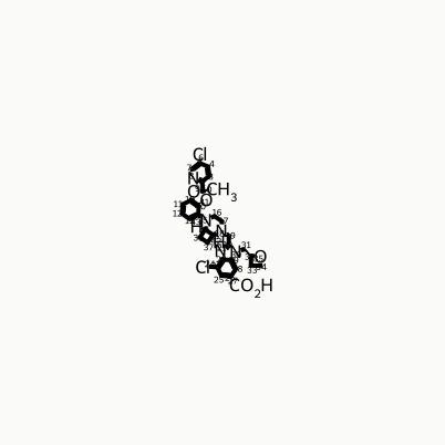 C[C@]1(c2ccc(Cl)cn2)Oc2cccc(N3CCN(Cc4nc5c(Cl)cc(C(=O)O)cc5n4C[C@@H]4CCO4)[C@@H]4CC[C@@H]43)c2O1